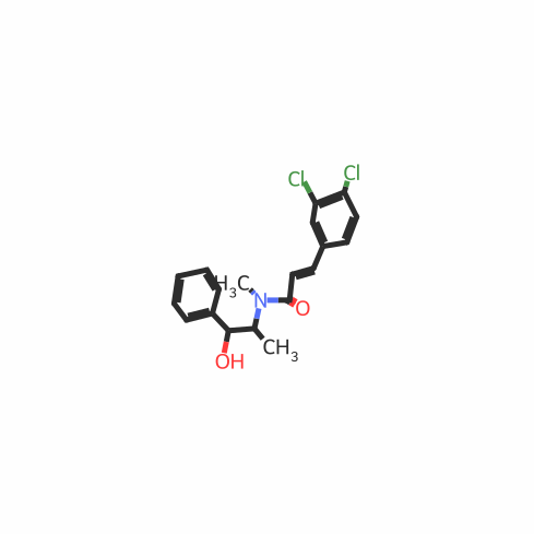 CC(C(O)c1ccccc1)N(C)C(=O)C=Cc1ccc(Cl)c(Cl)c1